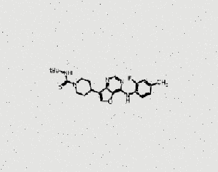 Cc1ccc(Nc2ncnc3c(C4CCN(C(=S)NC(C)(C)C)CC4)coc23)c(F)c1